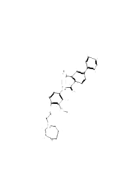 CNc1cc(-c2ccccc2)ccc1C(=O)Nc1ccc(OCCN2CCCCCC2)c(OC)c1